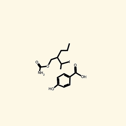 CCCC(COC(N)=O)C(C)I.O=C(O)c1ccc(O)cc1